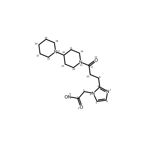 O=NC(=O)Cn1ccnc1CCC(=O)N1CCC(N2CCCCC2)CC1